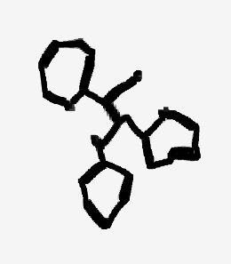 O=C(c1ccccn1)C(Oc1ccccc1)c1ccccn1